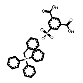 O=C(O)c1cc(C(=O)O)cc(S(=O)(=O)[O-])c1.c1ccc(C[P+](c2ccccc2)(c2ccccc2)c2ccccc2)cc1